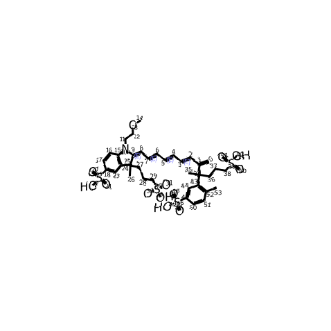 C=C(/C=C/C=C/C=C/C=C1/N(CCOC)c2ccc(S(=O)(=O)O)cc2C1(C)CCCS(=O)(=O)O)C(C)(CCCS(=O)(=O)O)c1cc(S(=O)(=O)O)ccc1C